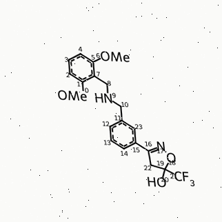 COc1cccc(OC)c1CNCc1cccc(C2=NOC(O)(C(F)(F)F)C2)c1